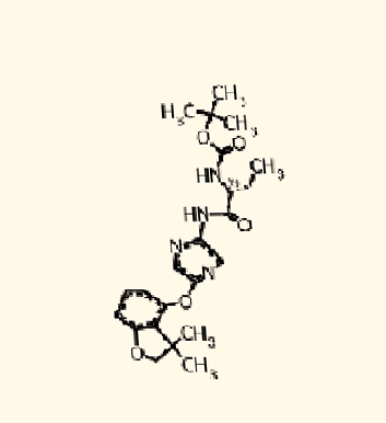 CC[C@@H](NC(=O)OC(C)(C)C)C(=O)Nc1cnc(Oc2cccc3c2C(C)(C)CO3)cn1